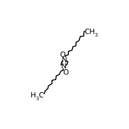 CCCCCCCCCCCC(=O)N1CCN(C(=O)CCCCCCCCCCC)CC1